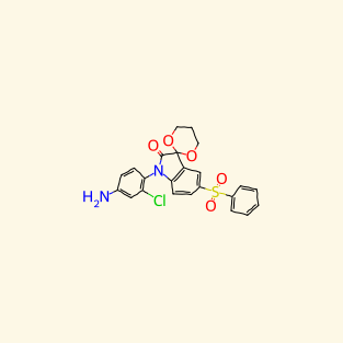 Nc1ccc(N2C(=O)C3(OCCCO3)c3cc(S(=O)(=O)c4ccccc4)ccc32)c(Cl)c1